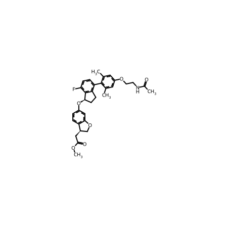 COC(=O)C[C@@H]1COc2cc(O[C@@H]3CCc4c(-c5c(C)cc(OCCNC(C)=O)cc5C)ccc(F)c43)ccc21